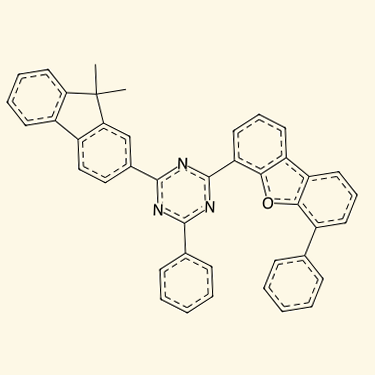 CC1(C)c2ccccc2-c2ccc(-c3nc(-c4ccccc4)nc(-c4cccc5c4oc4c(-c6ccccc6)cccc45)n3)cc21